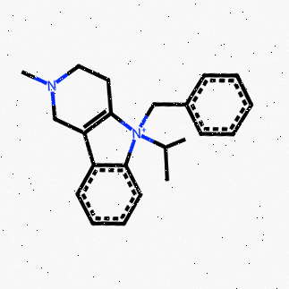 CC(C)[N+]1(Cc2ccccc2)C2=C(CN(C)CC2)c2ccccc21